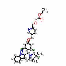 CCOC(=O)COCc1ccc(COc2cc(F)c([C@@H]3c4[nH]c5ccccc5c4C[C@@H](C)N3CC(C)(C)F)c(F)c2)cn1